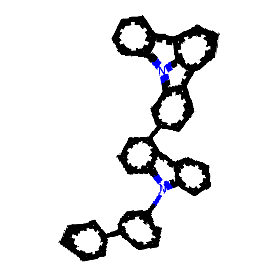 c1ccc(-c2cccc(-n3c4ccccc4c4c(-c5ccc6c7cccc8c9ccccc9n(c6c5)c87)cccc43)c2)cc1